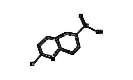 O=[N+](O)c1ccc2nc(Cl)ccc2c1